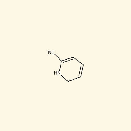 N#CC1=CC=CCN1